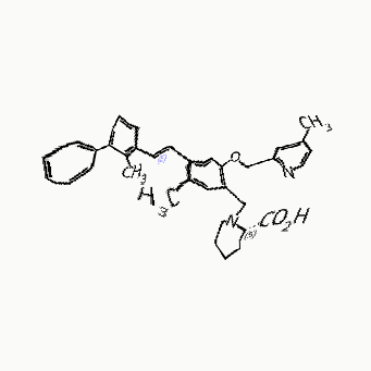 Cc1ccnc(COc2cc(/C=C/c3cccc(-c4ccccc4)c3C)c(C)cc2CN2CCCC[C@H]2C(=O)O)c1